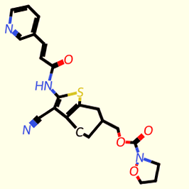 N#Cc1c(NC(=O)C=Cc2cccnc2)sc2c1CCC(COC(=O)N1CCCO1)C2